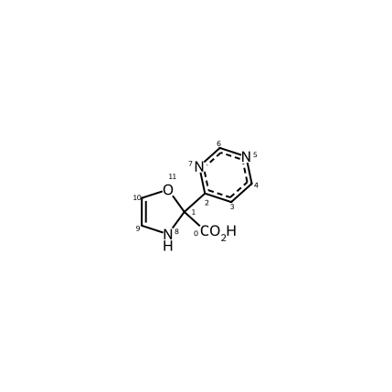 O=C(O)C1(c2ccncn2)NC=CO1